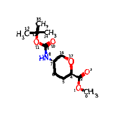 COC(=O)[C@H]1CC[C@H](NC(=O)OC(C)(C)C)CO1